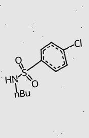 [CH2]CCCNS(=O)(=O)c1ccc(Cl)cc1